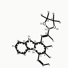 C/C=C\c1c(C)c(C)c(/C=C(\C)B2OC(C)(C)C(C)(C)O2)c2nc3ccccc3n12